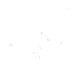 C[C@H](c1ccc(C#N)cc1)N1CCN(c2ccc(CCCO)cc2Cl)[C@H](c2ccc(Cl)cc2)C1